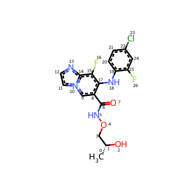 C[C@@H](O)CONC(=O)c1cn2ccnc2c(F)c1Nc1ccc(Cl)cc1F